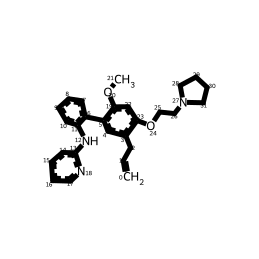 C=CCc1cc(-c2ccccc2Nc2ccccn2)c(OC)cc1OCCN1CCCC1